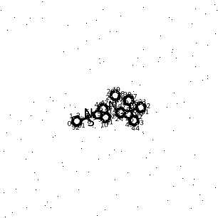 c1ccc(-c2nc3c(s2)-c2cccc4c(N(c5ccccc5)c5ccc6c(c5)C(c5ccccc5)(c5ccccc5)c5ccccc5-6)ccc-3c24)cc1